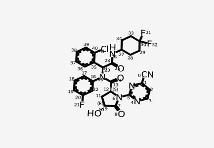 N#Cc1ccnc(N2C(=O)[C@H](O)C[C@H]2C(=O)N(c2cccc(F)c2)[C@H](C(=O)NC2CCC(F)(F)CC2)c2ccccc2Cl)n1